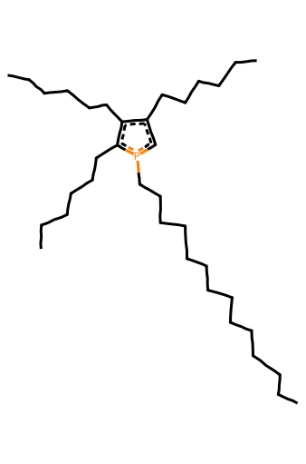 CCCCCCCCCCCCCCp1cc(CCCCCC)c(CCCCCC)c1CCCCCC